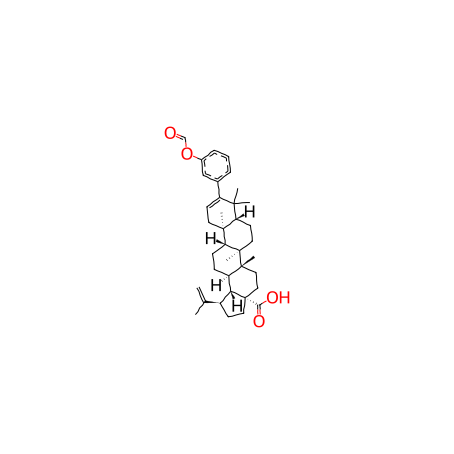 C=C(C)[C@@H]1CC[C@]2(C(=O)O)CC[C@]3(C)[C@H](CC[C@@H]4[C@@]5(C)CC=C(c6cccc(OC=O)c6)C(C)(C)[C@@H]5CC[C@]43C)[C@@H]12